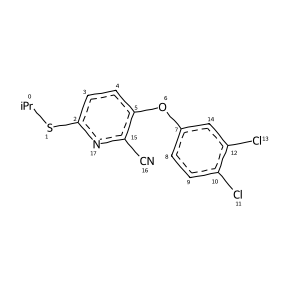 CC(C)Sc1ccc(Oc2ccc(Cl)c(Cl)c2)c(C#N)n1